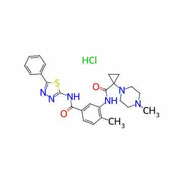 Cc1ccc(C(=O)Nc2nnc(-c3ccccc3)s2)cc1NC(=O)C1(N2CCN(C)CC2)CC1.Cl